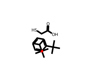 CC(C)(C)c1ccc2cc1C2C(C)(C)C.O=C(O)CS